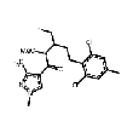 CON(C(=O)c1cn(C)nc1C(F)(F)F)C(CF)CCc1c(Cl)cc(C)cc1Cl